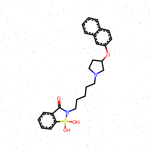 O=C1c2ccccc2S(O)(O)N1CCCCCN1CCC(Oc2ccc3ccccc3c2)C1